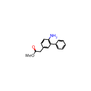 COC(=O)Cc1ccc(N)c(-c2ccccc2)c1